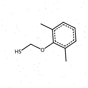 Cc1cccc(C)c1OCS